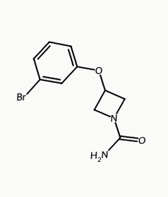 NC(=O)N1CC(Oc2cccc(Br)c2)C1